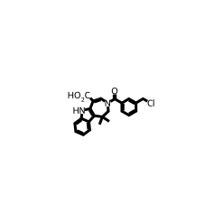 CC1(C)CN(C(=O)c2cccc(CCl)c2)C=C(C(=O)O)c2[nH]c3ccccc3c21